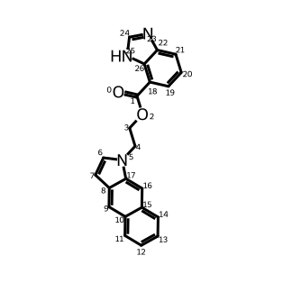 O=C(OCCn1ccc2cc3ccccc3cc21)c1cccc2nc[nH]c12